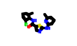 Cc1cccc(Nc2ncc(C(=O)Nc3c(C)cccc3Cl)s2)n1